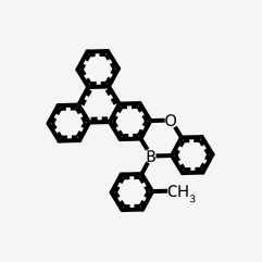 Cc1ccccc1B1c2ccccc2Oc2cc3c4ccccc4c4ccccc4c3cc21